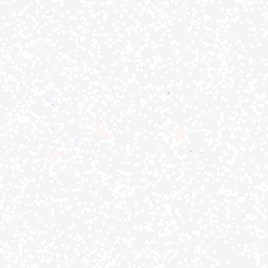 Cn1c(N2CCCCC2)cc(OCc2ccc(Oc3ccc(Cl)c(C(F)(F)F)c3)c(C#N)c2)nc1=O